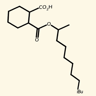 CCC(C)CCCCCCC(C)OC(=O)C1CCCCC1C(=O)O